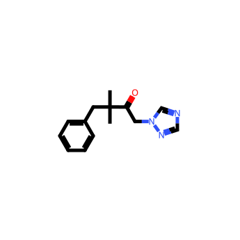 CC(C)(Cc1ccccc1)C(=O)Cn1cncn1